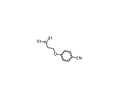 CCN(CC)CCOc1ccc(C#N)cc1